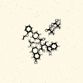 CCOc1ccccc1N1CCN(C(=O)NC(C(=O)N2C[C@@H](CN(C)C)Cc3cc(Cl)ccc32)C(C)c2c[nH]c3ccccc23)CC1.O=C(O)C(F)(F)F.O=C(O)C(F)(F)F